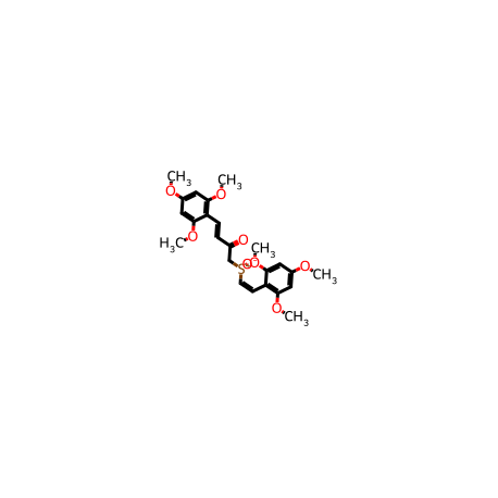 COc1cc(OC)c(C=CC(=O)C[S+]([O-])/C=C\c2c(OC)cc(OC)cc2OC)c(OC)c1